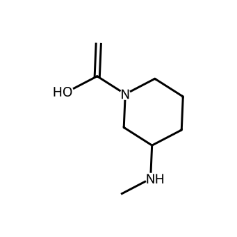 C=C(O)N1CCCC(NC)C1